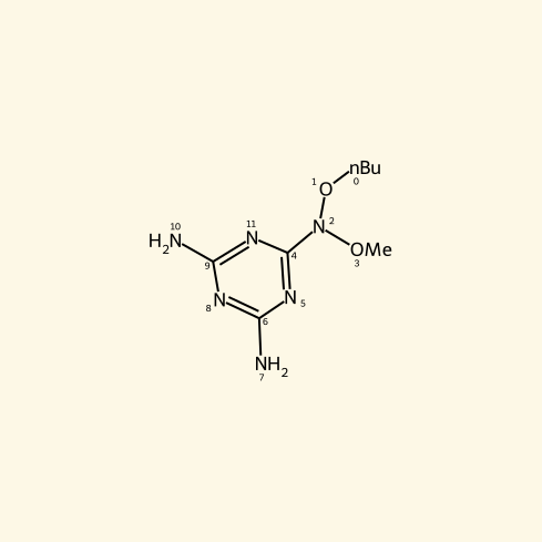 CCCCON(OC)c1nc(N)nc(N)n1